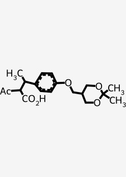 CC(=O)C(C(=O)O)C(C)c1ccc(OCC2COC(C)(C)OC2)cc1